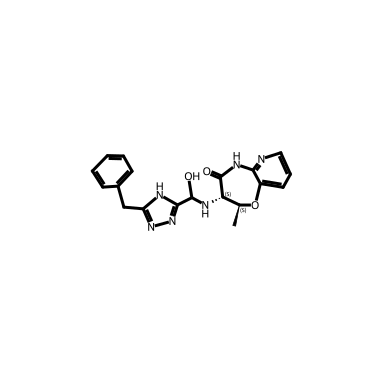 C[C@@H]1Oc2cccnc2NC(=O)[C@H]1NC(O)c1nnc(Cc2ccccc2)[nH]1